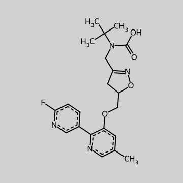 Cc1cnc(-c2ccc(F)nc2)c(OCC2CC(CN(C(=O)O)C(C)(C)C)=NO2)c1